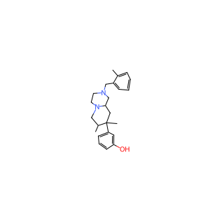 Cc1ccccc1CN1CCN2CC(C)C(C)(c3cccc(O)c3)CC2C1